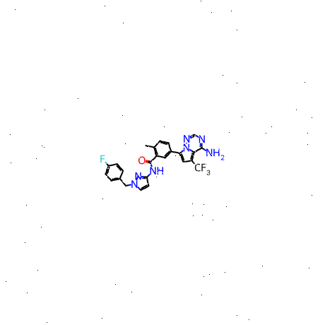 Cc1ccc(-c2cc(C(F)(F)F)c3c(N)ncnn23)cc1C(=O)Nc1ccn(Cc2ccc(F)cc2)n1